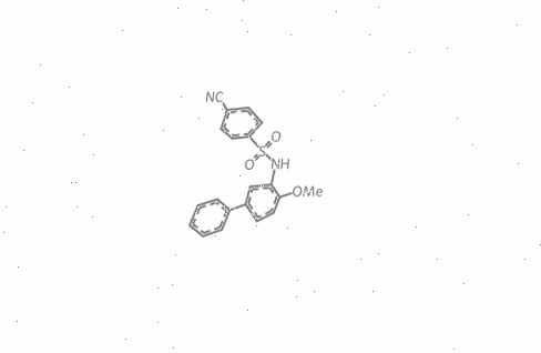 COc1ccc(-c2ccccc2)cc1NS(=O)(=O)c1ccc(C#N)cc1